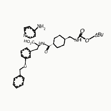 CC(C)(C)OC(=O)NC[C@H]1CC[C@H](C(=O)NC(Cc2cccc(OCc3ccccc3)c2)C(=O)O)CC1.Nc1ccncc1